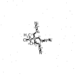 C[Si](C)(Cl)[Si](CN=[N+]=[N-])(CN=[N+]=[N-])CN=[N+]=[N-]